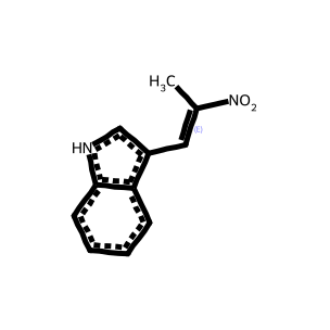 C/C(=C\c1c[nH]c2ccccc12)[N+](=O)[O-]